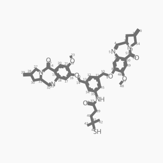 C=C1CC2C=Nc3cc(OCc4cc(COc5cc6c(cc5OC)C(=O)N5CC(=C)CC5C=N6)cc(NC(=O)CCC(C)(C)S)c4)c(OC)cc3C(=O)N2C1